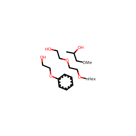 CCCCCCOCCOCCO.COCC(C)O.OCCOc1ccccc1